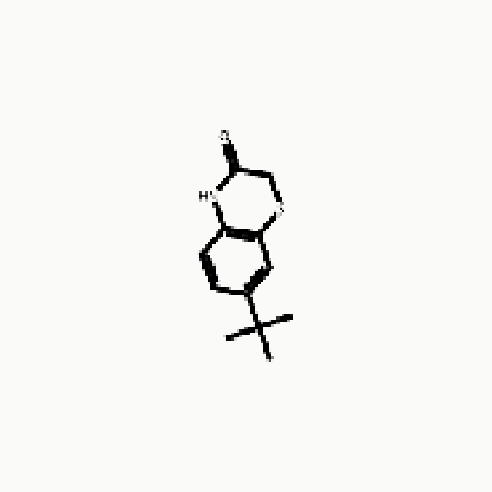 CC(C)(C)c1ccc2c(c1)SCC(=O)N2